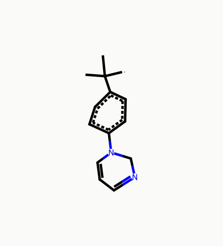 [CH2]C(C)(C)c1ccc(N2C=CC=NC2)cc1